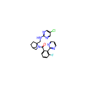 O=C(c1cccc(F)c1-c1ncccn1)N1CC2CCC1(CNc1ncc(Cl)cn1)C2